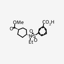 CCN([C@H]1CC[C@H](C(=O)OC)CC1)S(=O)(=O)c1cccc(C(=O)O)c1